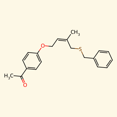 CC(=O)c1ccc(OCC=C(C)CSCc2ccccc2)cc1